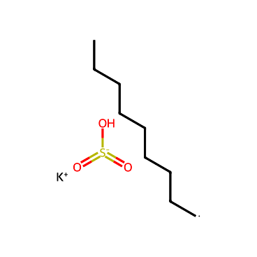 O=[S-](=O)O.[CH2]CCCCCCCC.[K+]